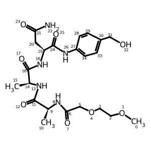 COCCOCC(=O)N[C@@H](C)C(=O)N[C@@H](C)C(=O)N[C@@H](CC(N)=O)C(=O)Nc1ccc(CO)cc1